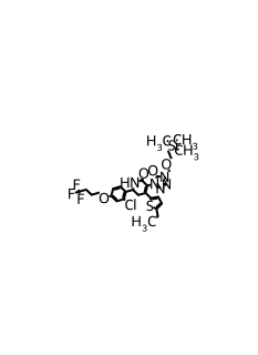 CCc1ccc(C2=C(n3nnn(COCC[Si](C)(C)C)c3=O)C(=O)NC(c3ccc(OCCCC(F)(F)F)cc3Cl)C2)s1